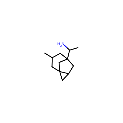 CC1CC2(C(C)N)CC3CC3(C1)C2